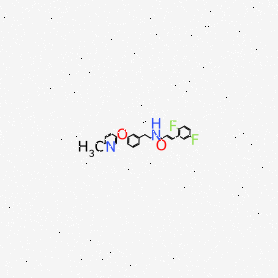 Cc1ccc(Oc2cccc(CCNC(=O)C=Cc3cc(F)ccc3F)c2)cn1